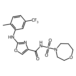 Cc1ccc(C(F)(F)F)cc1Nc1nc(C(=O)NS(=O)(=O)N2CCCOCC2)co1